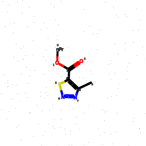 CCCOC(=O)c1snnc1C